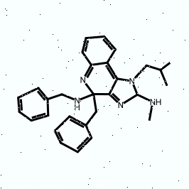 CNC1N=C2C(=c3ccccc3=NC2(Cc2ccccc2)NCc2ccccc2)N1CC(C)C